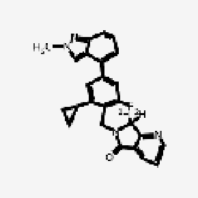 [2H]C1([2H])c2ncccc2C(=O)N1Cc1c(F)cc(-c2cccc3nn(C)cc23)cc1C1CC1